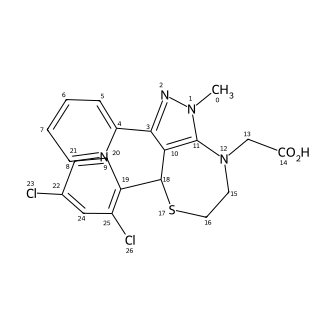 Cn1nc(-c2ccccn2)c2c1N(CC(=O)O)CCSC2c1ccc(Cl)cc1Cl